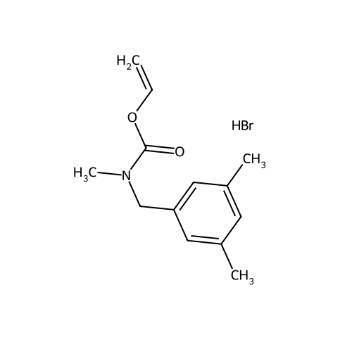 Br.C=COC(=O)N(C)Cc1cc(C)cc(C)c1